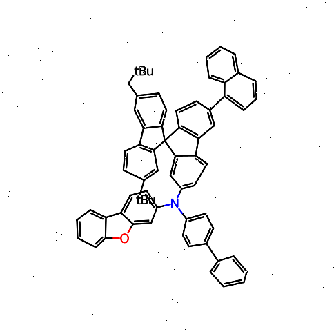 CC(C)(C)Cc1ccc2c(c1)-c1ccc(C(C)(C)C)cc1C21c2ccc(-c3cccc4ccccc34)cc2-c2ccc(N(c3ccc(-c4ccccc4)cc3)c3ccc4c(c3)oc3ccccc34)cc21